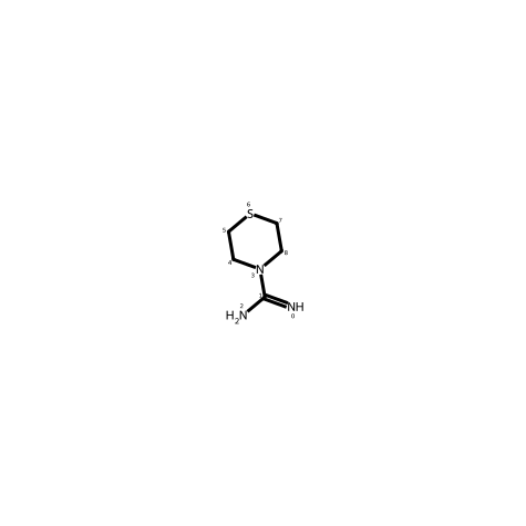 N=C(N)N1CCSCC1